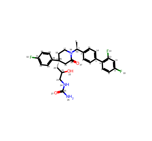 C[C@@H](c1ccc(-c2ccc(F)cc2F)cc1)N1CC[C@](CC(O)CNC(N)=O)(c2ccc(F)cc2)CC1=O